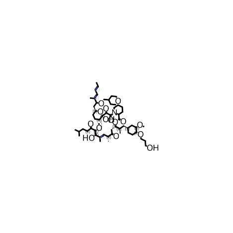 C/C=C/C=C(\C)C(C[C@@H]1CC[C@@H](C)[C@](O)(C(=O)C(=O)N2CCCCC2C(=O)O[C@@H](CC(=O)[C@H](C)/C=C(\C)[C@@H](O)[C@@H](OC)C(=O)[C@H](C)CC(C)C)[C@H](C)C[C@@H]2CC[C@@H](OCCCO)[C@H](OC)C2)O1)OCC1CCOCC1